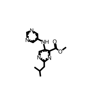 COC(=O)c1nc(CC(C)C)ncc1Nc1cncnc1